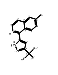 Cc1ccc2c(-c3cc(C(F)(F)F)n[nH]3)nccc2c1